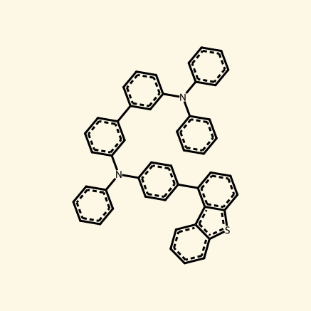 c1ccc(N(c2ccccc2)c2cccc(-c3cccc(N(c4ccccc4)c4ccc(-c5cccc6sc7ccccc7c56)cc4)c3)c2)cc1